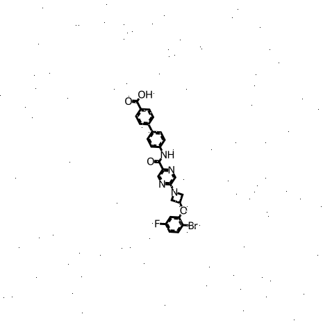 O=C(O)c1ccc(-c2ccc(NC(=O)c3cnc(N4CC(Oc5cc(F)ccc5Br)C4)cn3)cc2)cc1